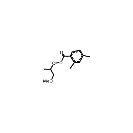 COC[C](C)OOC(=O)c1ccc(C)cc1C